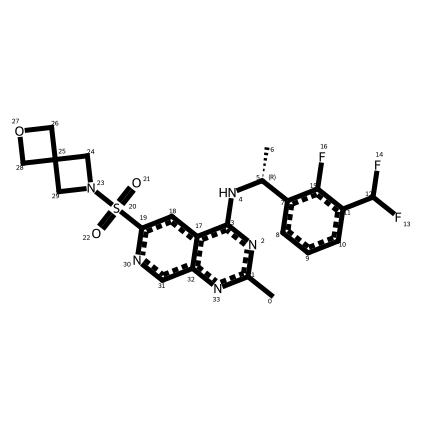 Cc1nc(N[C@H](C)c2cccc(C(F)F)c2F)c2cc(S(=O)(=O)N3CC4(COC4)C3)ncc2n1